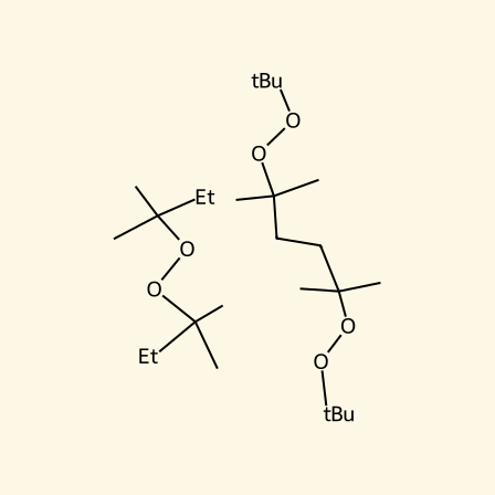 CC(C)(C)OOC(C)(C)CCC(C)(C)OOC(C)(C)C.CCC(C)(C)OOC(C)(C)CC